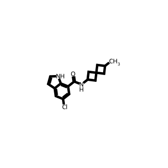 CC1CC2(C1)CC(NC(=O)c1cc(Cl)cc3cc[nH]c13)C2